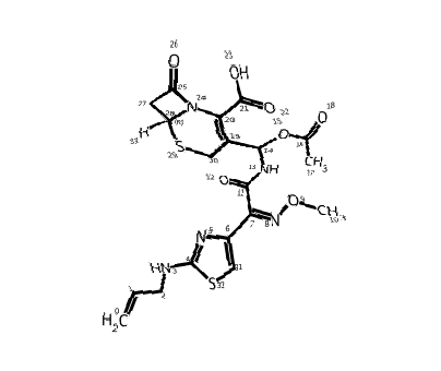 C=CCNc1nc(C(=NOC)C(=O)NC(OC(C)=O)C2=C(C(=O)O)N3C(=O)C[C@H]3SC2)cs1